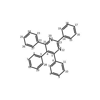 [c]1ccc(-c2c(-c3ccccc3)nc(-c3ccccc3)nc2-c2ccccc2)cc1